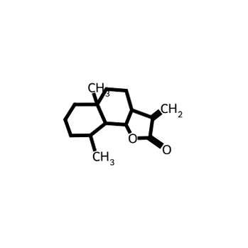 C=C1C(=O)OC2C1CCC1(C)CCCC(C)C21